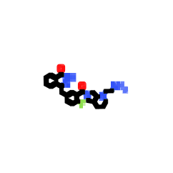 NCCN1CCCC2CN(C(=O)c3cc(Cc4n[nH]c(=O)c5ccccc45)ccc3F)CC21